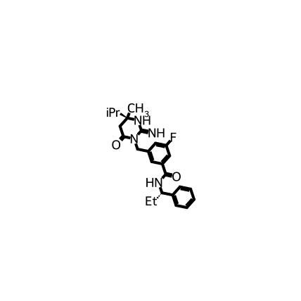 CC[C@H](NC(=O)c1cc(F)cc(CN2C(=N)N[C@](C)(C(C)C)CC2=O)c1)c1ccccc1